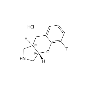 Cl.Fc1cccc2c1O[C@@H]1CNC[C@H]1C2